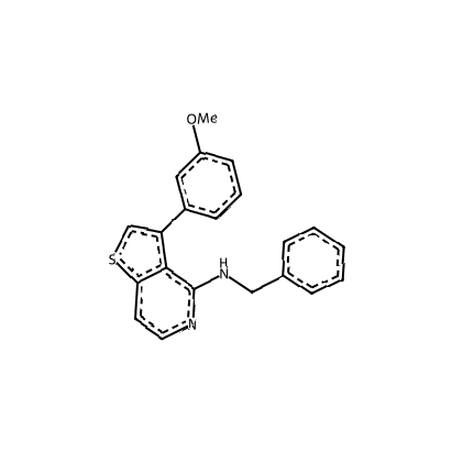 COc1cccc(-c2csc3ccnc(NCc4ccccc4)c23)c1